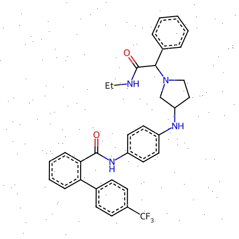 CCNC(=O)C(c1ccccc1)N1CCC(Nc2ccc(NC(=O)c3ccccc3-c3ccc(C(F)(F)F)cc3)cc2)C1